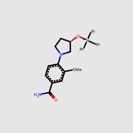 COc1cc(C(N)=O)ccc1N1CC[C@@H](O[Si](C(C)C)(C(C)C)C(C)C)C1